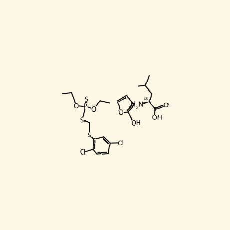 CC(C)C[C@H](N)C(=O)O.CCOP(=S)(OCC)SCSc1cc(Cl)ccc1Cl.Oc1ccco1